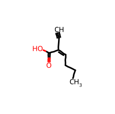 C#CC(=CCCC)C(=O)O